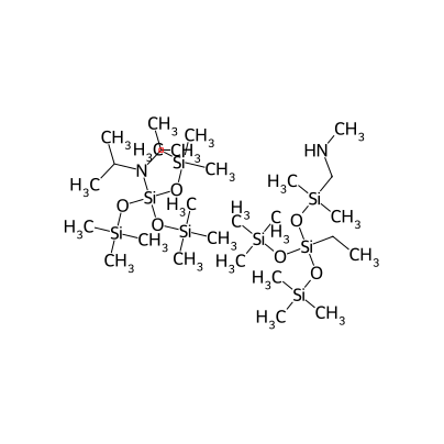 CC(C)N(C(C)C)[Si](O[Si](C)(C)C)(O[Si](C)(C)C)O[Si](C)(C)C.CC[Si](O[Si](C)(C)C)(O[Si](C)(C)C)O[Si](C)(C)CNC